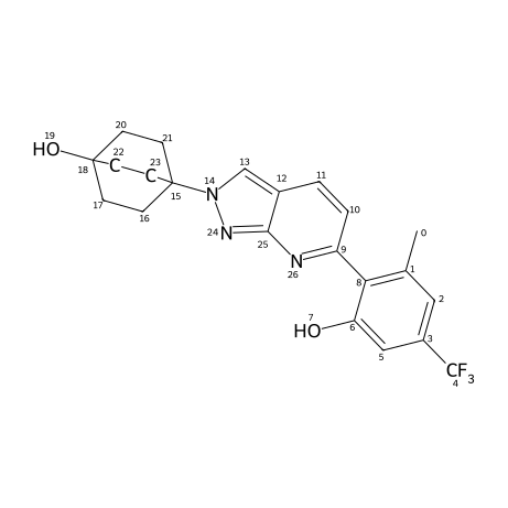 Cc1cc(C(F)(F)F)cc(O)c1-c1ccc2cn(C34CCC(O)(CC3)CC4)nc2n1